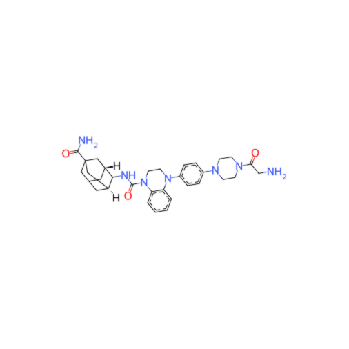 NCC(=O)N1CCN(c2ccc(N3CCN(C(=O)NC4[C@@H]5CC6C[C@H]4CC(C(N)=O)(C6)C5)c4ccccc43)cc2)CC1